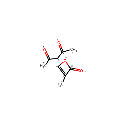 CC(=O)CC(C)=O.CC1=COC1=O